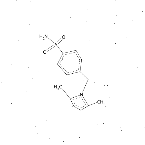 Cc1[c]cc(C)n1Cc1ccc(S(N)(=O)=O)cc1